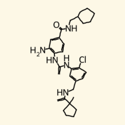 C=C(Nc1ccc(C(=O)NCC2CCCCC2)cc1N)Nc1cc(CNC(=C)C2(C)CCCC2)ccc1Cl